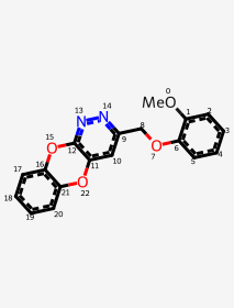 COc1ccccc1OCc1cc2c(nn1)Oc1ccccc1O2